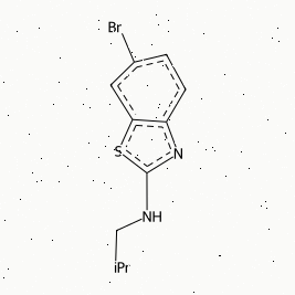 CC(C)CNc1nc2ccc(Br)cc2s1